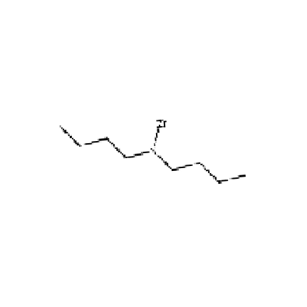 CCCC[N]([Zr])CCCC